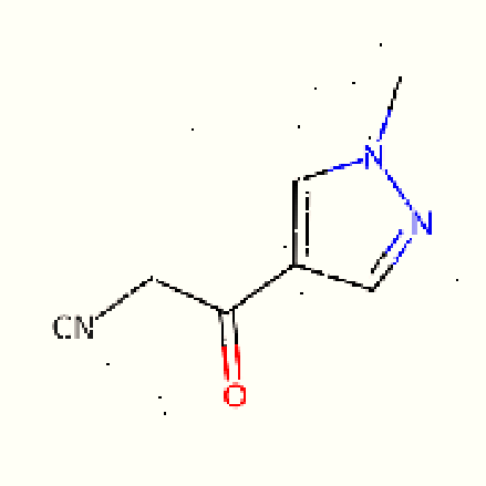 [C-]#[N+]CC(=O)c1cnn(C)c1